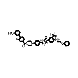 O=C(NS(=O)(=O)c1ccc(NCCSc2ccccc2)c(C(F)(F)F)c1)c1ccc(N2CCN(C(=O)c3ccc(-c4cccc(O)c4)c(F)c3)CC2)cc1